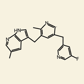 Cc1cnc2[nH]cc(Cc3cc(Cc4cncc(F)c4)[c]nc3C)c2c1